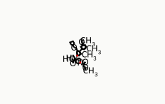 COCC(=O)N1CCC(Nc2cc(C)c(-c3cc(C)cc(OC)c3)c(COC3CCCC3)c2)(C(=O)O)CC1